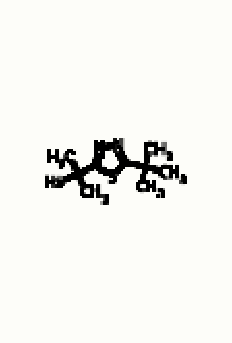 CC(C)(C)c1nnc(C(C)(C)S)s1